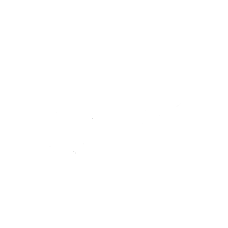 c1ccc(-c2cc(-c3ccccc3)cc(N(c3ccc(-c4ccc(-n5c6ccccc6c6ccccc65)cc4)cc3)c3ccc4[nH]c5ccccc5c4c3)c2)cc1